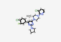 C[C@@H]1CN(c2ncccc2Cl)CCN1c1cc(-c2ccc(Cl)c(F)c2)nc(N2CCCC2)n1